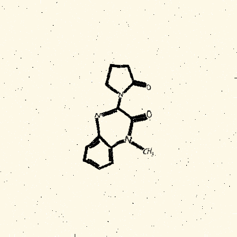 Cn1c(=O)c(N2CCCC2=O)nc2ccccc21